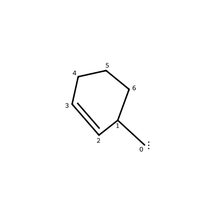 [C]C1C=CCCC1